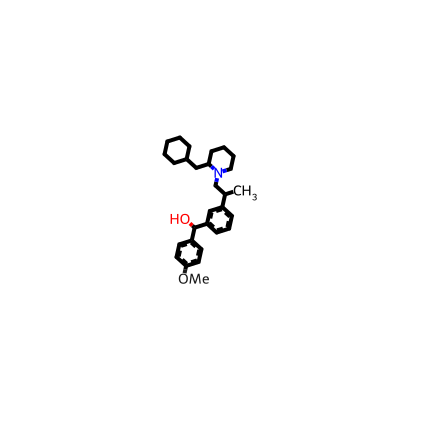 COc1ccc(C(O)c2cccc(C(C)CN3CCCCC3CC3CCCCC3)c2)cc1